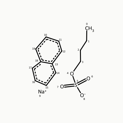 CCCCOS(=O)(=O)[O-].[Na+].c1ccc2ccccc2c1